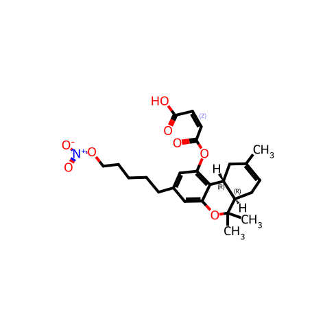 CC1=CC[C@@H]2[C@@H](C1)c1c(OC(=O)/C=C\C(=O)O)cc(CCCCCO[N+](=O)[O-])cc1OC2(C)C